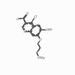 COCCCOc1cc2ncc(C(=O)Cl)c(Cl)c2cc1OC